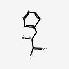 O=C(O)[C@@H](Br)Cc1ccccc1